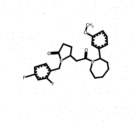 COc1cccc(C2CCCCCN2C(=O)CC2CCC(=O)N2Cc2ccc(F)cc2F)c1